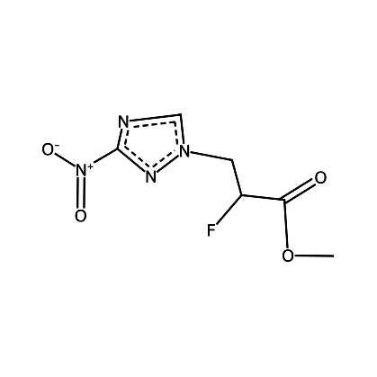 COC(=O)C(F)Cn1cnc([N+](=O)[O-])n1